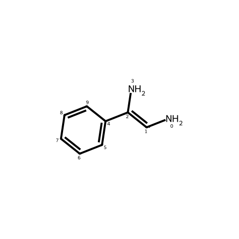 N[C]=C(N)c1ccccc1